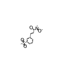 CON(C)C(=O)C=Cc1cccc(S(C)(=O)=O)c1